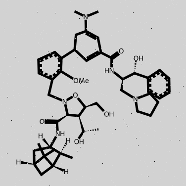 COc1c(CN2O[C@@H](CO)[C@@H]([C@H](C)O)[C@H]2C(=O)N[C@H]2C[C@H]3C[C@@H]([C@@H]2C)C3(C)C)cccc1C1C=C(C(=O)N[C@H](CN2CCCC2)[C@H](O)c2ccccc2)C=C(N(C)C)C1